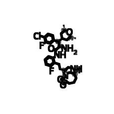 C[C@@H]1CC([C@H](c2ccc(Cl)c(F)c2)[C@H](N)C(=O)Nc2cccc(F)c2CC[C@H]2CN[C@@H]3CCCS(=O)(=O)N2C3)C[C@H](C)O1